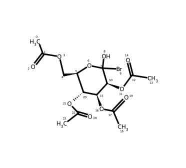 CC(=O)OC[C@H]1OC(O)(Br)[C@@H](OC(C)=O)[C@@H](OC(C)=O)[C@@H]1OC(C)=O